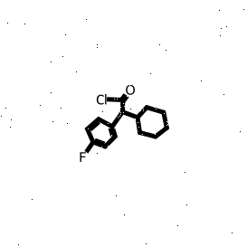 O=C(Cl)C(c1ccc(F)cc1)C1CCCCC1